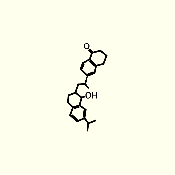 CC(C)c1ccc2c(c1)C(O)C(CC(C)c1ccc3c(c1)CCCC3=O)CC2